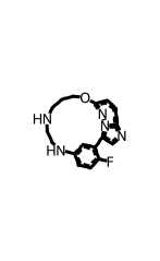 Fc1ccc2cc1-c1cnc3ccc(nn13)OCCCNCCN2